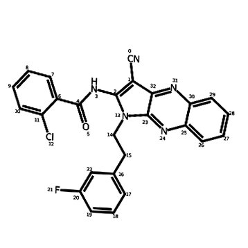 N#Cc1c(NC(=O)c2ccccc2Cl)n(CCc2cccc(F)c2)c2nc3ccccc3nc12